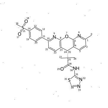 Cc1ccc2c(n1)Oc1nc(-c3ccc(S(C)(=O)=O)cc3)ccc1[C@H]2C(C)(C)C(=O)Nc1nncs1